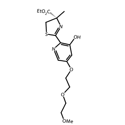 CCOC(=O)[C@@]1(C)CSC(c2ncc(OCCOCCOC)cc2O)=N1